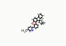 Cc1ccc(-c2cccc3c2oc2ccc4c(c23)C(CC(C)C)(CC(C)C)c2ccccc2-4)nc1